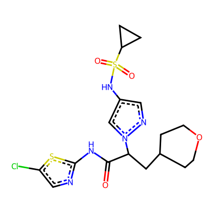 O=C(Nc1ncc(Cl)s1)C(CC1CCOCC1)n1cc(NS(=O)(=O)C2CC2)cn1